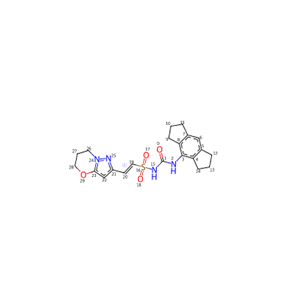 O=C(Nc1c2c(cc3c1CCC3)CCC2)NS(=O)(=O)/C=C/c1cc2n(n1)CCCO2